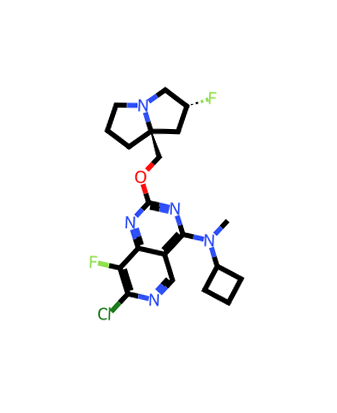 CN(c1nc(OC[C@@]23CCCN2C[C@H](F)C3)nc2c(F)c(Cl)ncc12)C1CCC1